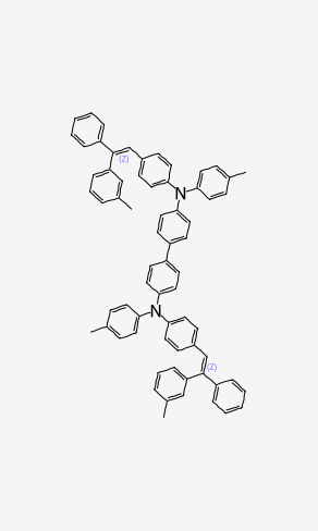 Cc1ccc(N(c2ccc(/C=C(/c3ccccc3)c3cccc(C)c3)cc2)c2ccc(-c3ccc(N(c4ccc(C)cc4)c4ccc(/C=C(/c5ccccc5)c5cccc(C)c5)cc4)cc3)cc2)cc1